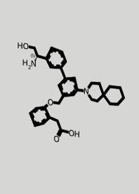 N[C@H](CO)c1cccc(-c2cc(COc3ccccc3CC(=O)O)cc(N3CCC4(CCCCC4)CC3)c2)c1